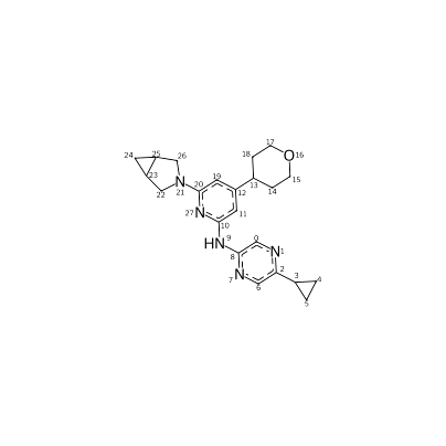 c1nc(C2CC2)cnc1Nc1cc(C2CCOCC2)cc(N2CC3CC3C2)n1